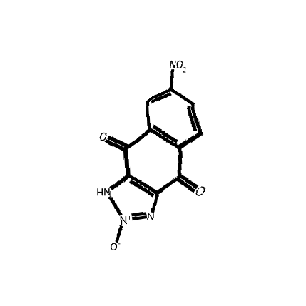 O=C1c2ccc([N+](=O)[O-])cc2C(=O)c2[nH][n+]([O-])nc21